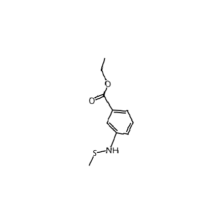 CCOC(=O)c1cccc(NSC)c1